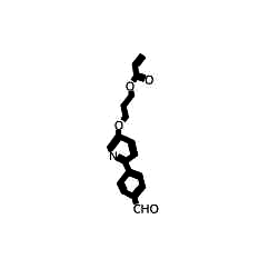 C=CC(=O)OCCCOc1ccc(-c2ccc(C=O)cc2)nc1